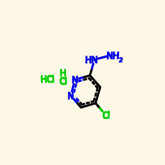 Cl.Cl.NNc1cc(Cl)cnn1